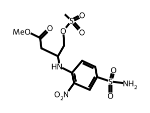 COC(=O)CC(COS(C)(=O)=O)Nc1ccc(S(N)(=O)=O)cc1[N+](=O)[O-]